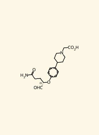 NC(=O)CC[C@@H](C=O)Oc1ccc(C2CCN(CC(=O)O)CC2)cc1